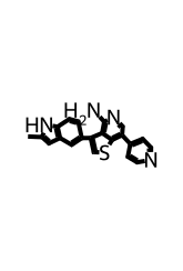 Cc1cc2cc(-c3csc4c(-c5ccncc5)cnc(N)c34)ccc2[nH]1